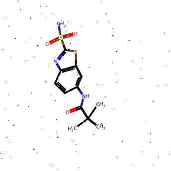 CC(C)(C)C(=O)Nc1ccc2nc(S(N)(=O)=O)sc2c1